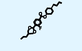 CCCC[C@H]1CC[C@H](OC(=O)c2ccc(C3OCC(CCC)CO3)c(F)c2)CC1